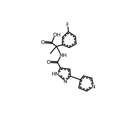 CC(NC(=O)c1cc(-c2ccncc2)n[nH]1)(C(=O)O)c1cccc(F)c1